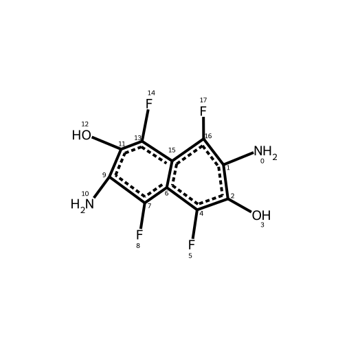 Nc1c(O)c(F)c2c(F)c(N)c(O)c(F)c2c1F